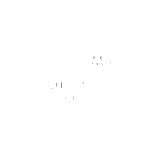 [Cu].[Mo].[O].[V]